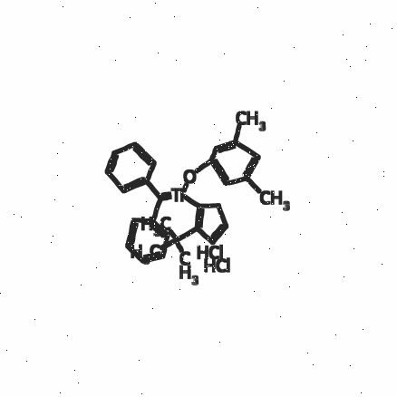 Cc1cc(C)cc([O][Ti]([C]2=C(C(C)(C)C)C=CC2)=[C](c2ccccc2)c2ccccc2)c1.Cl.Cl